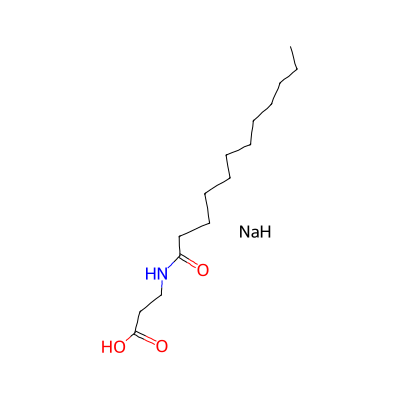 CCCCCCCCCCCC(=O)NCCC(=O)O.[NaH]